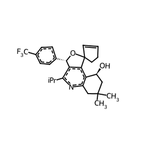 CC(C)c1nc2c(c3c1[C@H](c1ccc(C(F)(F)F)cc1)OC31C=CCC1)[C@@H](O)CC(C)(C)C2